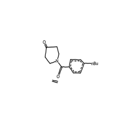 C=C.CCCCc1ccc(C(=O)N2CCC(=O)CC2)cc1